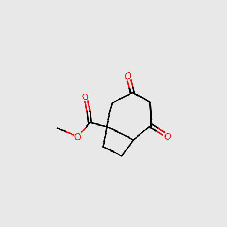 COC(=O)C12CCC1C(=O)CC(=O)C2